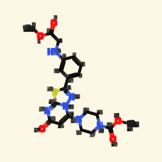 CC(C)(C)OC(=O)CNc1cccc(-c2nn3c(N4CCN(C(=O)OC(C)(C)C)CC4)cc(=O)nc3s2)c1